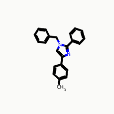 Cc1ccc(-c2cn(Cc3ccccc3)c(-c3ccccc3)n2)cc1